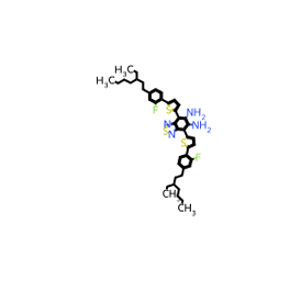 CCCCC(CC)CCc1ccc(-c2ccc(-c3c(N)c(N)c(-c4ccc(-c5ccc(CCC(CC)CCCC)cc5F)s4)c4nsnc34)s2)c(F)c1